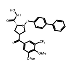 COc1cc(C(=S)[C@H]2C[C@H](C(=O)NO)N(Oc3ccc(-c4ccccc4)cc3)C2)cc(C(F)(F)F)c1OC